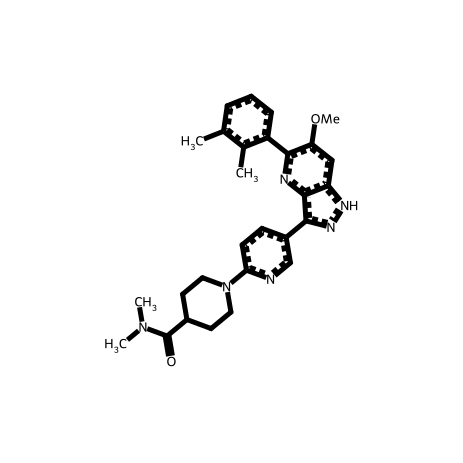 COc1cc2[nH]nc(-c3ccc(N4CCC(C(=O)N(C)C)CC4)nc3)c2nc1-c1cccc(C)c1C